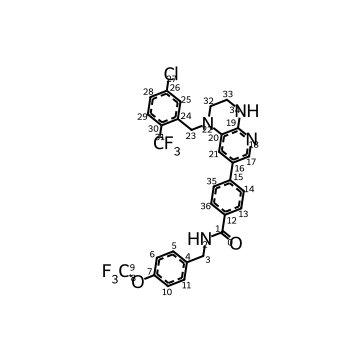 O=C(NCc1ccc(OC(F)(F)F)cc1)c1ccc(-c2cnc3c(c2)N(Cc2cc(Cl)ccc2C(F)(F)F)CCN3)cc1